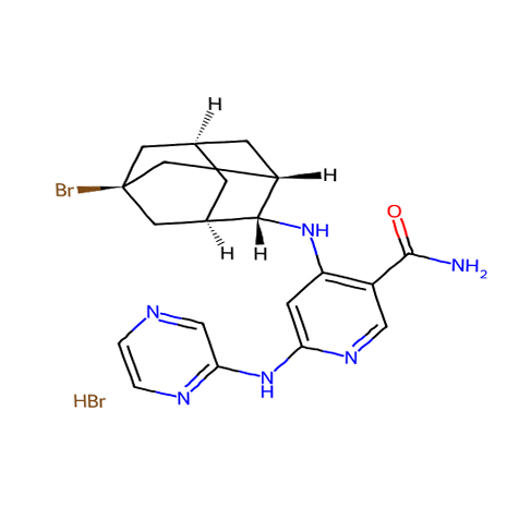 Br.NC(=O)c1cnc(Nc2cnccn2)cc1N[C@@H]1[C@@H]2C[C@@H]3C[C@H]1C[C@@](Br)(C3)C2